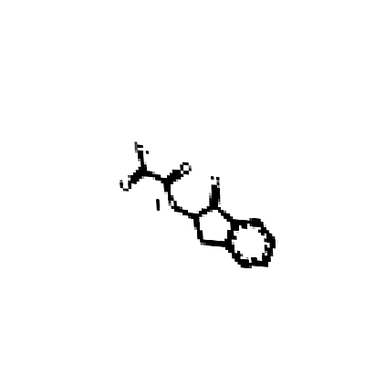 CCC(=O)C(=O)NC1Cc2ccccc2C1=O